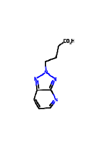 O=C(O)CCCn1nc2cccnc2n1